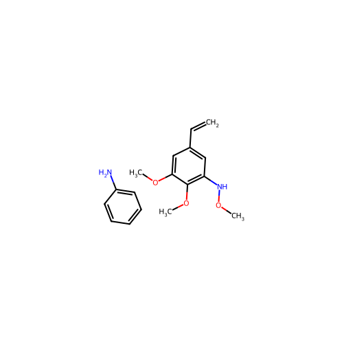 C=Cc1cc(NOC)c(OC)c(OC)c1.Nc1ccccc1